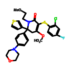 COCCN1C(=O)C(Sc2ccc(F)cc2Cl)=C(OC(=O)O)CC1(c1ccc(N2CCOCC2)cc1)c1ccsc1